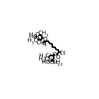 CCC(CCCCCCCC(=O)OC1CC(C)(C)N(O)C(C)(C)C1)C(=O)OC1CC(C)(C)N(O)C(C)(C)C1